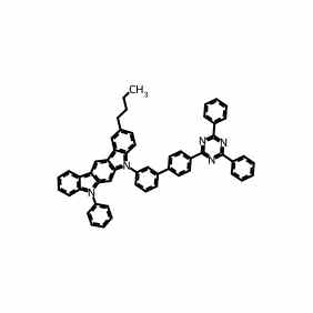 CCCCc1ccc2c(c1)c1cc3c4ccccc4n(-c4ccccc4)c3cc1n2-c1cccc(-c2ccc(-c3nc(-c4ccccc4)nc(-c4ccccc4)n3)cc2)c1